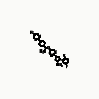 CCc1cnc(N2CCC([C@H](C)Oc3cnc(N4C[C@H](c5cc(F)ccc5F)[C@@H](N)C4)nc3)CC2)nc1